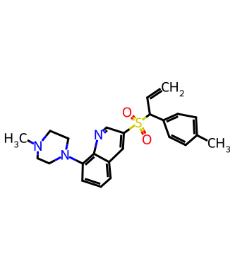 C=CC(c1ccc(C)cc1)S(=O)(=O)c1cnc2c(N3CCN(C)CC3)cccc2c1